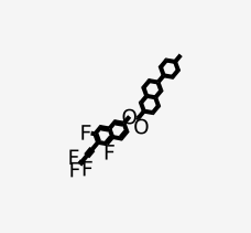 CC1CCC(C2CCC3CC(C(=O)Oc4ccc5c(F)c(C#CC(F)(F)F)c(F)cc5c4)CCC3C2)CC1